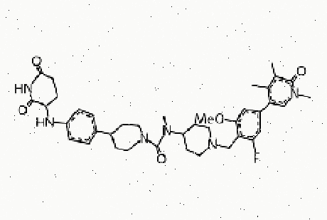 COc1cc(-c2cn(C)c(=O)c(C)c2C)cc(F)c1CN1CCC(N(C)C(=O)N2CCC(c3ccc(NC4CCC(=O)NC4=O)cc3)CC2)CC1